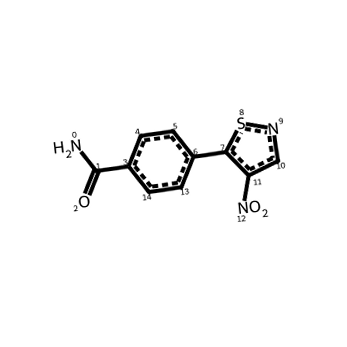 NC(=O)c1ccc(-c2sncc2[N+](=O)[O-])cc1